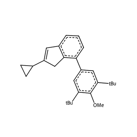 COc1c(C(C)(C)C)cc(-c2cccc3c2CC(C2CC2)=C3)cc1C(C)(C)C